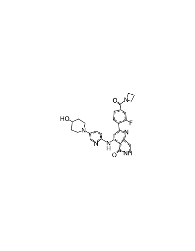 O=C(c1ccc(-c2cc(Nc3ccc(N4CCC(O)CC4)cn3)c3c(=O)[nH]ccc3n2)c(F)c1)N1CCC1